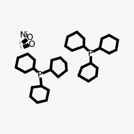 C1CCC(P(C2CCCCC2)C2CCCCC2)CC1.C1CCC(P(C2CCCCC2)C2CCCCC2)CC1.[C]=O.[C]=O.[Ni]